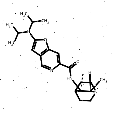 CC(C)N(c1cc2cnc(C(=O)N[C@@H]3C4CCN(CC4)[C@H]3C)cc2o1)C(C)C